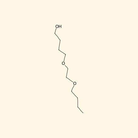 CCCCOCCOCCCCO